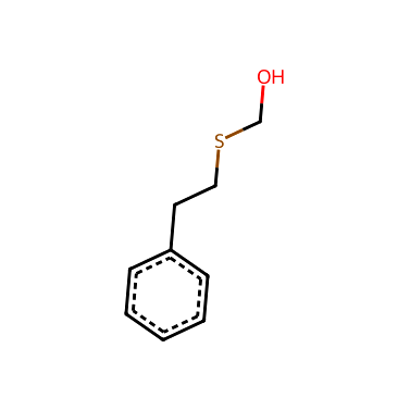 OCSCCc1ccccc1